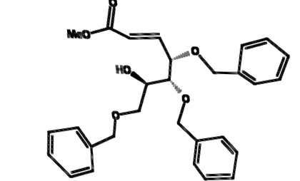 COC(=O)C=C[C@H](OCc1ccccc1)[C@H](OCc1ccccc1)[C@H](O)COCc1ccccc1